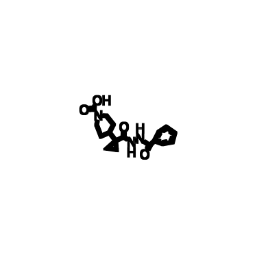 O=C(NNC(=O)C1(C2CCN(C(=O)O)CC2)CC1)c1ccccc1